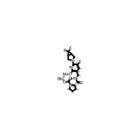 COc1nc(N2CC3C(C2)C3(F)F)c(F)cc1CNC(=O)[C@@H]1CCCN1C(=O)OC(C)(C)C